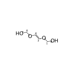 OCO[C]=COCO